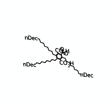 CCCCCCCCCCCCCCCCCCc1c(CCCCCCCCCCCCCCCCCC)c(C(=O)O)c(I(=O)=O)c(CCCCCCCCCCCCCCCCCC)c1C(=O)O